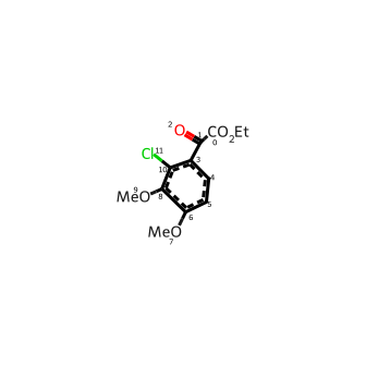 CCOC(=O)C(=O)c1ccc(OC)c(OC)c1Cl